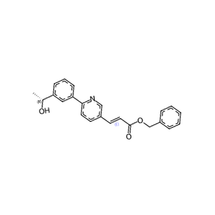 C[C@@H](O)c1cccc(-c2ccc(/C=C/C(=O)OCc3ccccc3)cn2)c1